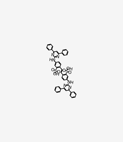 O=S(=O)(O)c1cc(Nc2nc(-c3ccccc3)cc(-c3ccccc3)n2)ccc1C=Cc1ccc(Nc2nc(-c3ccccc3)cc(-c3ccccc3)n2)cc1S(=O)(=O)O